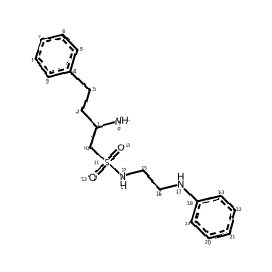 [NH]C(CCc1ccccc1)CS(=O)(=O)NCCNc1ccccc1